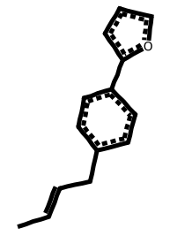 CC=CCc1ccc(-c2ccco2)cc1